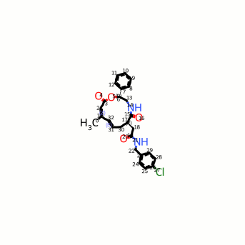 CC1=C/C(=O)O[C@H](c2ccccc2)CNC(=O)[C@@H](CC(=O)NCc2ccc(Cl)cc2)C\C=C\1